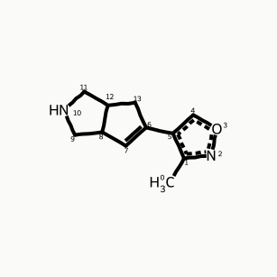 Cc1nocc1C1=CC2CNCC2C1